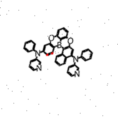 c1ccc(N(c2cccnc2)c2cc3c(c4ccccc24)B2c4c(cccc4Oc4cc(N(c5ccccc5)c5cccnc5)c5ccccc5c42)O3)cc1